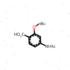 CCCCOc1cc(NC(C)=O)ccc1C(=O)O